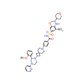 CC(C)Oc1ccccc1[C@@H]1CN(c2ccccn2)CCN1C1CC2(CCN(c3ccc(C(=O)NS(=O)(=O)c4cc5c(c([N+](=O)[O-])c4)N[C@H](C4CCOCC4)CO5)cc3)CC2)C1